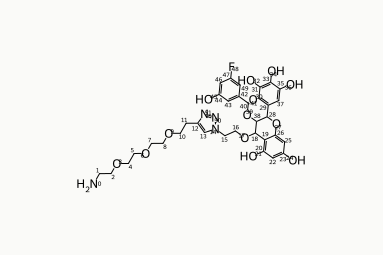 NCCOCCOCCOCCc1cn(CCOC2c3c(O)cc(O)cc3OC(c3cc(O)c(O)c(O)c3)C2OC(=O)c2cc(O)cc(F)c2)nn1